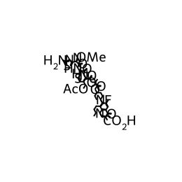 CO/N=C(\C(=O)N[C@@H]1C(=O)N2C(C(=O)OC(C)C(=O)OC3CCN(c4c(F)cc5c(=O)c(C(=O)O)cn6c5c4CCC6C)CC3)=C(COC(C)=O)CS[C@H]12)c1csc(N)n1